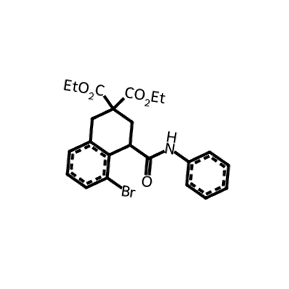 CCOC(=O)C1(C(=O)OCC)Cc2cccc(Br)c2C(C(=O)Nc2ccccc2)C1